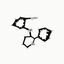 COc1ccccc1NC1CCCNC1c1ccccc1